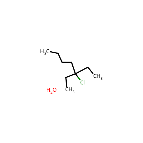 CCCCC(Cl)(CC)CC.O